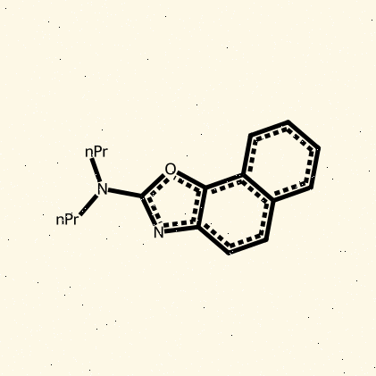 CCCN(CCC)c1nc2ccc3ccccc3c2o1